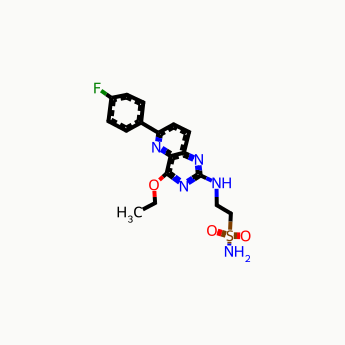 CCOc1nc(NCCS(N)(=O)=O)nc2ccc(-c3ccc(F)cc3)nc12